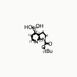 CC(C)(C)OC(=O)N1CCc2c(B(O)O)ccnc21